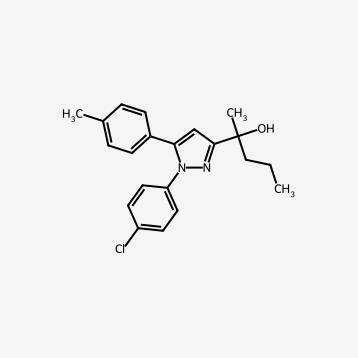 CCCC(C)(O)c1cc(-c2ccc(C)cc2)n(-c2ccc(Cl)cc2)n1